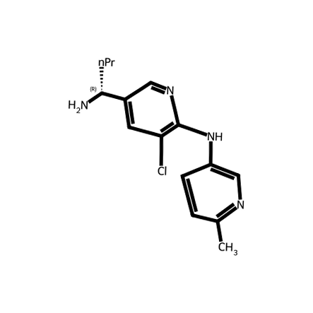 CCC[C@@H](N)c1cnc(Nc2ccc(C)nc2)c(Cl)c1